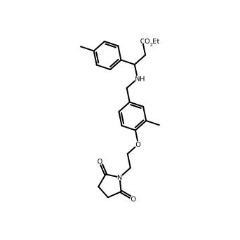 CCOC(=O)CC(NCc1ccc(OCCN2C(=O)CCC2=O)c(C)c1)c1ccc(C)cc1